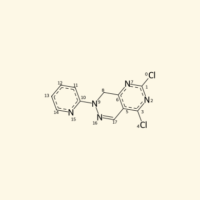 Clc1nc(Cl)c2c(n1)CN(c1ccccn1)N=C2